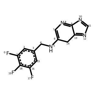 Fc1cc(CNC2=CN=C3N=CN=C3C2)cc(F)c1F